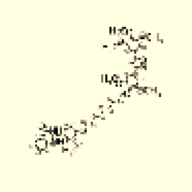 COc1cc(C2NC(=O)c3ccccc3N2)ccc1OCCCCCCCCCOc1c(OC)cc(-c2cc(-c3cc(OC)c(OC)c(OC)c3)on2)cc1OC